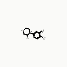 C[C@H]1CNCCN1c1ccc(C#N)c(Cl)c1